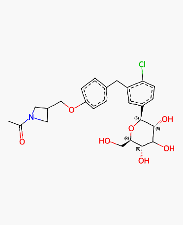 CC(=O)N1CC(COc2ccc(Cc3cc([C@@H]4O[C@H](CO)[C@@H](O)C(O)[C@H]4O)ccc3Cl)cc2)C1